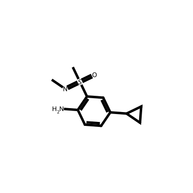 CN=S(C)(=O)c1cc(C2CC2)ccc1N